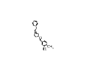 CCc1cc(CO[C@@H]2CCN(CCc3ccccc3)C2)ccc1C